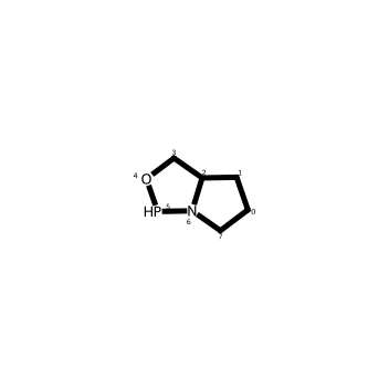 C1CC2COPN2C1